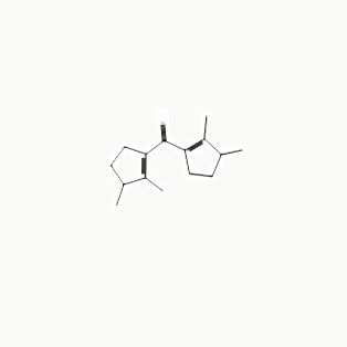 CC1=C(C(=O)C2=C(C)C(C)CC2)CCC1C